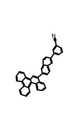 N#Cc1cccc(-c2ccc3cc(-c4cc5c6ccccc6c6ccccc6c5c5ccccc45)ccc3c2)c1